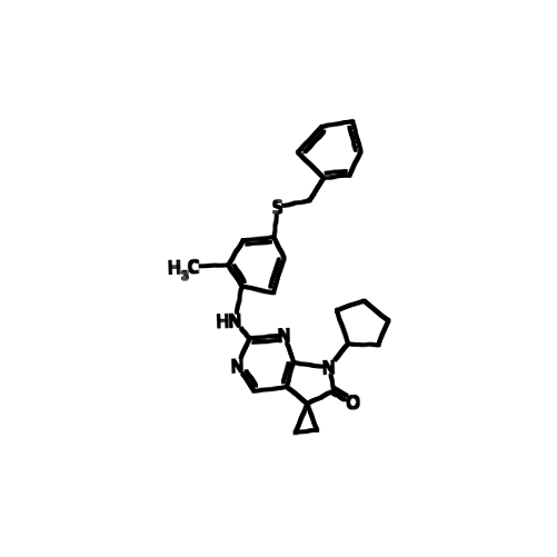 Cc1cc(SCc2ccccc2)ccc1Nc1ncc2c(n1)N(C1CCCC1)C(=O)C21CC1